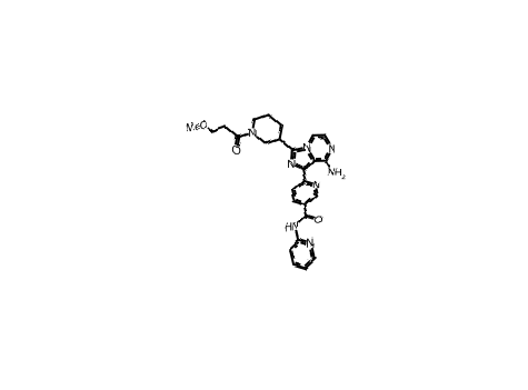 COCCC(=O)N1CCCC(c2nc(-c3ccc(C(=O)Nc4ccccn4)cn3)c3c(N)nccn23)C1